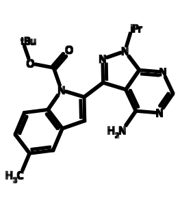 Cc1ccc2c(c1)cc(-c1nn(C(C)C)c3ncnc(N)c13)n2C(=O)OC(C)(C)C